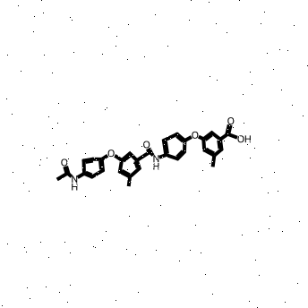 CC(=O)Nc1ccc(Oc2cc(C)cc(C(=O)Nc3ccc(Oc4cc(C)cc(C(=O)O)c4)cc3)c2)cc1